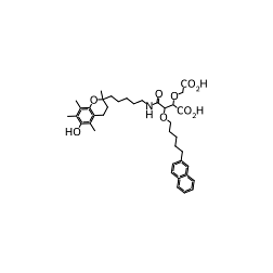 Cc1c(C)c2c(c(C)c1O)CCC(C)(CCCCCNC(=O)C(OCCCCCc1ccc3ccccc3c1)C(OCC(=O)O)C(=O)O)O2